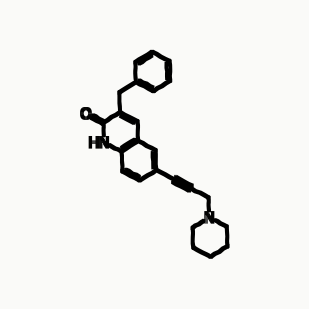 O=c1[nH]c2ccc(C#CCN3CCCCC3)cc2cc1Cc1ccccc1